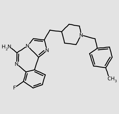 Cc1ccc(CN2CCC(Cc3cn4c(N)nc5c(F)cccc5c4n3)CC2)cc1